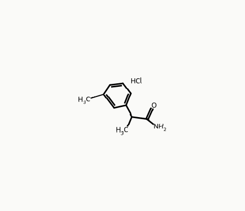 Cc1cccc(C(C)C(N)=O)c1.Cl